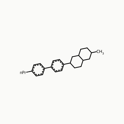 CCCc1ccc(-c2ccc(C3CCC4CC(C)CCC4C3)cc2)cc1